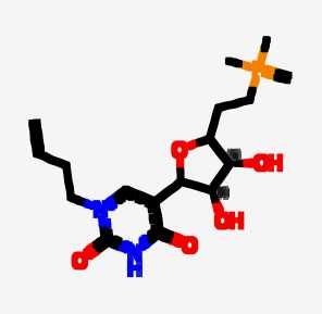 C=CCCn1cc(C2OC(CCP(=C)(C)C)[C@@H](O)[C@H]2O)c(=O)[nH]c1=O